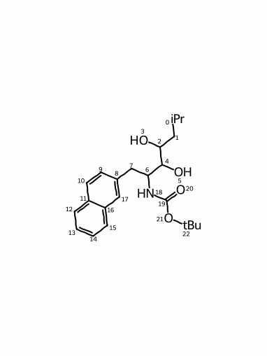 CC(C)CC(O)C(O)C(Cc1ccc2ccccc2c1)NC(=O)OC(C)(C)C